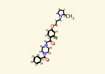 CC1CCCN1CCCOc1ccc(C(=O)CN2CCN(C(=O)c3ccccc3)CC2)c(F)c1